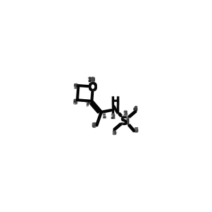 CC(N[Si](C)(C)C)=C1CCO1